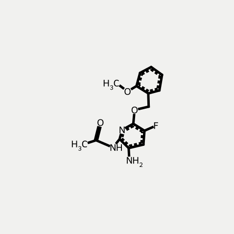 COc1ccccc1COc1nc(NC(C)=O)c(N)cc1F